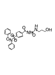 O=C(CNC(=O)c1ccc(S(=O)(=O)N(Oc2ccccc2)c2ccccc2)cc1)NCCCO